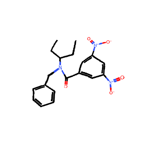 CCC(CC)N(Cc1ccccc1)C(=O)c1cc([N+](=O)[O-])cc([N+](=O)[O-])c1